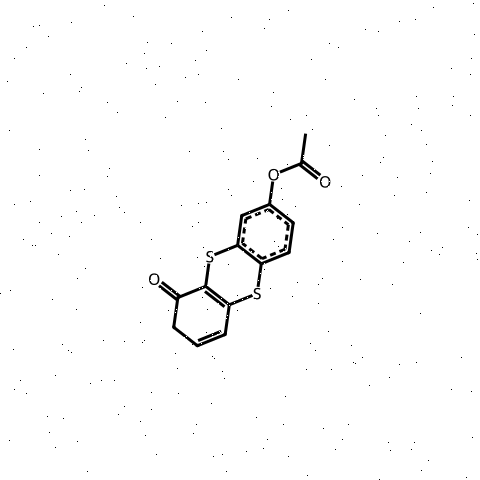 CC(=O)Oc1ccc2c(c1)SC1=C(C=CCC1=O)S2